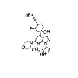 CCCCC#CC1=C(F)CC(O)(c2cc(N3CCOC[C@H]3C)nc3c2cnn3-c2cc[nH]n2)CC1